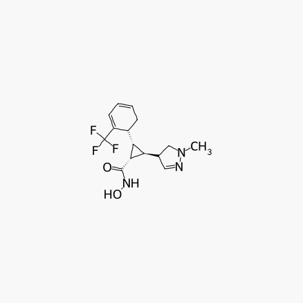 CN1CC([C@H]2[C@H](C(=O)NO)[C@@H]2C2CC=CC=C2C(F)(F)F)C=N1